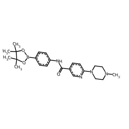 CN1CCN(c2ccc(C(=O)Nc3ccc(B4OC(C)(C)C(C)(C)O4)cc3)cn2)CC1